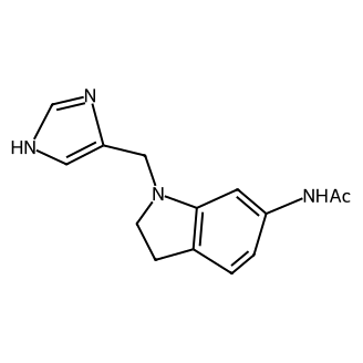 CC(=O)Nc1ccc2c(c1)N(Cc1c[nH]cn1)CC2